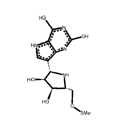 CSOC[C@H]1N[C@@H](c2c[nH]c3c(O)nc(O)nc23)[C@H](O)[C@@H]1O